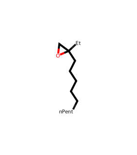 CCCCCCCCCCC1(CC)CO1